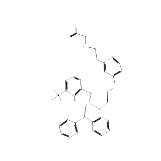 C[C@H](CCOc1cccc(CCNCC(=O)O)c1)N(Cc1cccc(C(F)(F)F)c1Cl)CC(c1ccccc1)c1ccccc1.Cl